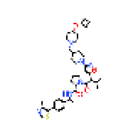 Cc1ncsc1-c1ccc(C(C)NC(=O)C2CCCN2C(=O)C(c2cc(N3CCC(CN4CCC(OC5CCC5)CC4)CC3)no2)C(C)C)cc1